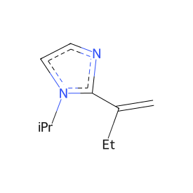 C=C(CC)c1nccn1C(C)C